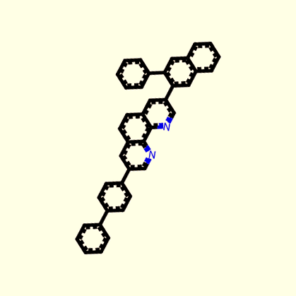 c1ccc(-c2ccc(-c3cnc4c(ccc5cc(-c6cc7ccccc7cc6-c6ccccc6)cnc54)c3)cc2)cc1